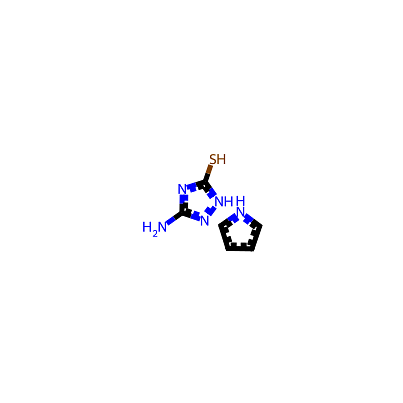 Nc1n[nH]c(S)n1.c1cc[nH]c1